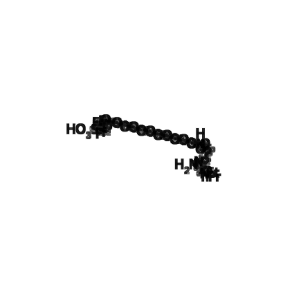 C=C(C1=Cc2ccc(-c3cccc(S(=O)(=O)NCCOCCOCCOCCOCCOCCOCCOCCOCCOCCOCCC(=O)Oc4c(F)c(F)c(S(=O)(=O)O)c(F)c4F)c3)cc2N=C(N)C1)N(CCC)OCC